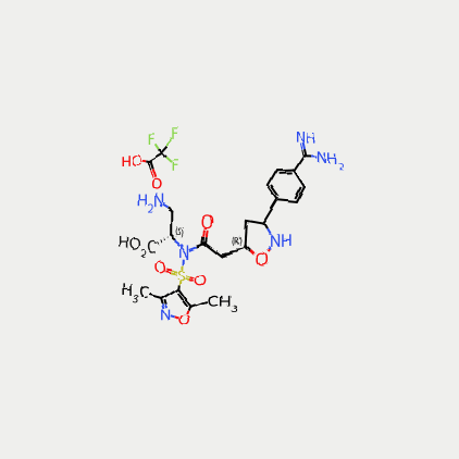 Cc1noc(C)c1S(=O)(=O)N(C(=O)C[C@H]1CC(c2ccc(C(=N)N)cc2)NO1)[C@@H](CN)C(=O)O.O=C(O)C(F)(F)F